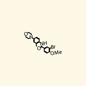 COc1ccc(C(=O)Nc2ccc(N3CCOCC3)cc2C)cc1Br